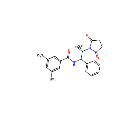 O=C(NC(c1ccccc1)C(C(=O)O)N1C(=O)CCC1=O)c1cc([N+](=O)[O-])cc([N+](=O)[O-])c1